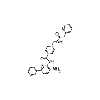 Nc1ccc(-c2ccccc2)nc1NC(=O)c1ccc(CNC(=O)Cc2ccccn2)cc1